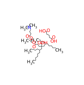 CCCCCCC(CCCC)CC(CCC(=O)OCC(C)OC(=O)CCCN(C)C)(CC(CCCC)CCCCCC)C(=O)O.O=C(O)CCCC(=O)O